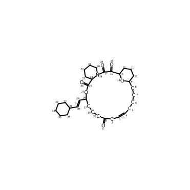 O=C1C/C=C\CCCCC2CCCC(O2)C(=O)C(=O)N2CCCCC2C(=O)OC(/C=C/C2CCCCC2)CCC1